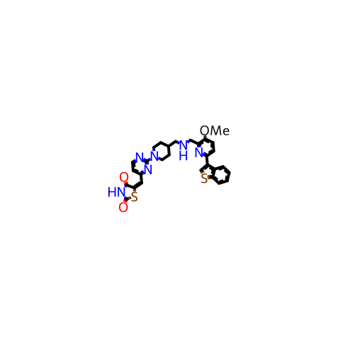 COc1ccc(-c2csc3ccccc23)nc1CNCC1CCN(c2nccc(/C=C3/SC(=O)NC3=O)n2)CC1